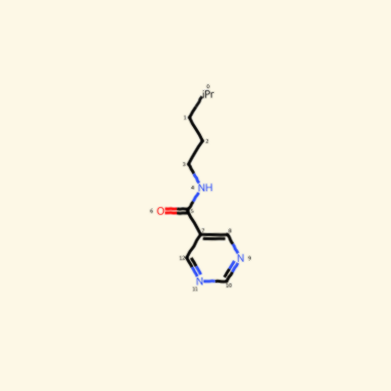 CC(C)CCCNC(=O)c1cncnc1